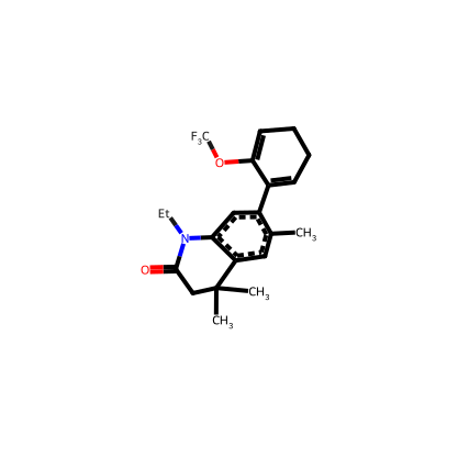 CCN1C(=O)CC(C)(C)c2cc(C)c(C3=CCCC=C3OC(F)(F)F)cc21